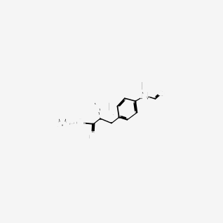 COC(=O)[C@@H](N)Cc1ccc(NC=S)cc1